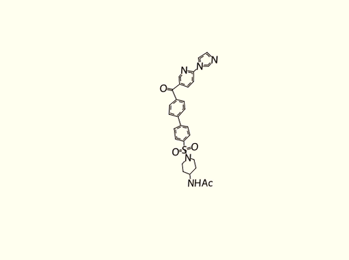 CC(=O)NC1CCN(S(=O)(=O)c2ccc(-c3ccc(C(=O)c4ccc(-n5ccnc5)nc4)cc3)cc2)CC1